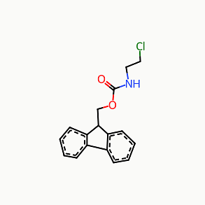 O=C(NCCCl)OCC1c2ccccc2-c2ccccc21